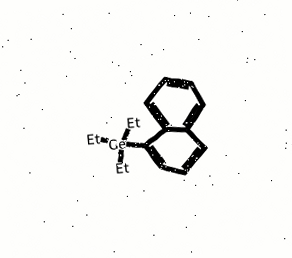 C[CH2][Ge]([CH2]C)([CH2]C)[c]1cccc2ccccc12